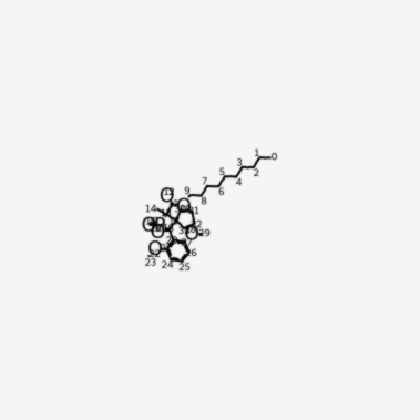 CCCCCCCCCCOC(=O)C(C)(P=O)C1(C(=O)c2c(OC)cccc2OC)CCCC1